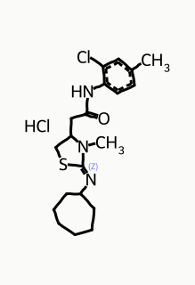 Cc1ccc(NC(=O)CC2CS/C(=N\C3CCCCCC3)N2C)c(Cl)c1.Cl